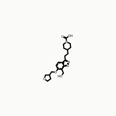 O=C(O)N1CCC(CCc2noc3c(CO)c(OCC4CCOC4)ccc23)CC1